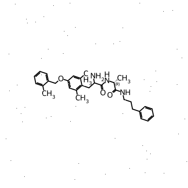 Cc1ccccc1COc1cc(C)c(CC(N)C(=O)N[C@H](C)C(=O)NCCCc2ccccc2)c(C)c1